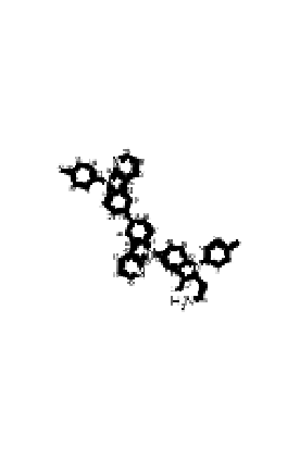 Cc1ccc(-n2c(/C=C\N)c(C)c3cc(-n4c5ccc(-c6ccc7c(c6)c6cccnc6n7-c6ccc(C)cc6)cc5c5cccnc54)ccc32)cc1